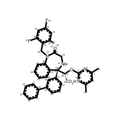 Cc1cc(C)nc(O[C@H](C(=O)O)[C@@]2(c3cccc(-c4ccccc4)c3)NCC(=O)N(Cc3c(F)cc(F)cc3F)c3ccccc32)n1